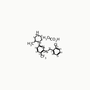 CC(=O)O.CC1CNCCN1c1ccc(C(F)(F)F)c(SCc2ccccc2Cl)n1